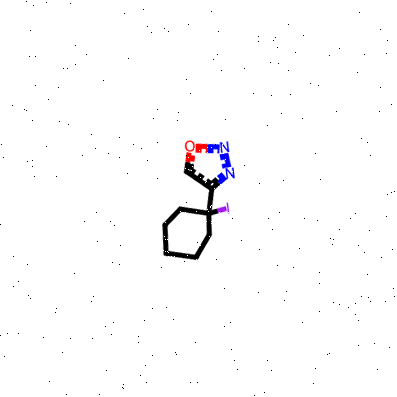 IC1(c2conn2)CCCCC1